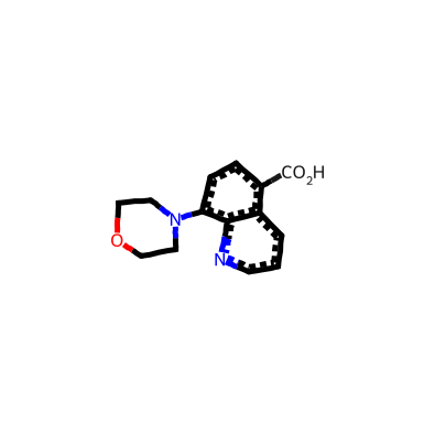 O=C(O)c1ccc(N2CCOCC2)c2ncccc12